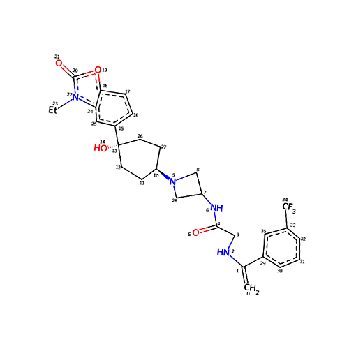 C=C(NCC(=O)NC1CN([C@H]2CC[C@@](O)(c3ccc4oc(=O)n(CC)c4c3)CC2)C1)c1cccc(C(F)(F)F)c1